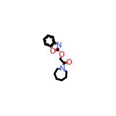 O=C(COc1nc2ccccc2o1)N1CCCCCC1